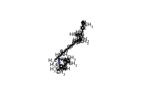 CCN(CCNNC(=O)CCOCCOOCCOCCC(=O)NC(C(=O)N1CC(O)CC1C(=O)NCc1ccc(-c2scnc2C)cc1)C(C)(C)C)/C(N)=C/C=C(\C)c1cc(NC(C)C)c(C=N)c(C(=O)NCc2c(C)cc(C)[nH]c2=O)c1